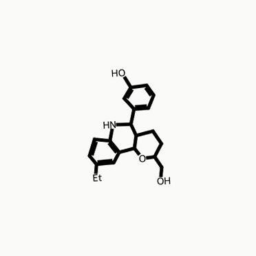 CCc1ccc2c(c1)C1OC(CO)CCC1C(c1cccc(O)c1)N2